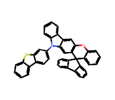 c1ccc2c(c1)Oc1cc3c4ccccc4n(-c4ccc5c(c4)sc4ccccc45)c3cc1C21c2ccccc2-c2ccccc21